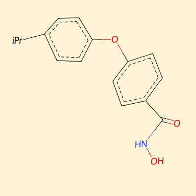 CC(C)c1ccc(Oc2ccc(C(=O)NO)cc2)cc1